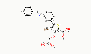 O=C(O)COc1c(C(=O)O)sc(-c2cccc(NCc3ccccc3)c2)c1Br